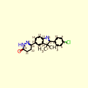 CC1(C)C(c2ccc(Cl)cc2)=Nc2ccc(C3=NNC(=O)CC3)cc21